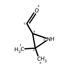 CC1(C)NC1C=O